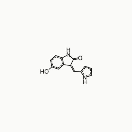 O=C1Nc2ccc(O)cc2/C1=C/c1ccc[nH]1